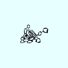 COc1cccc(-c2ccccc2)c1-c1c(F)cccc1-c1nc(-c2ccc(-c3ccccc3)cc2)nc(-n2c3ccccc3c3ccc4c5ccccc5n(-c5ccc(-c6ccccc6)cc5)c4c32)n1